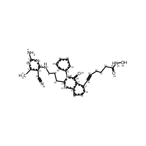 Cc1nc(N)nc(NCCCc2nc3cccc(C#CCCCC(=O)NO)c3c(=O)n2-c2ccccc2)c1C#N